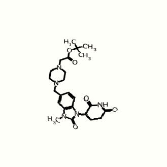 Cn1c(=O)n(C2CCC(=O)NC2=O)c2ccc(CN3CCN(CC(=O)OC(C)(C)C)CC3)cc21